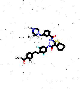 COC(=O)c1ccc(CCc2c(F)cc(NC(=O)c3c(NC(=O)c4cccc(CN5CCN(C(C)=O)CC5(C)C)c4)sc4c3CCCC4)cc2F)cc1C